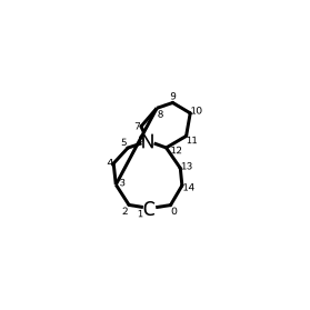 C1CCC2CCN3CC2CCCC3CC1